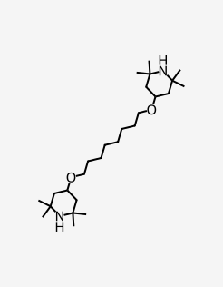 CC1(C)CC(OCCCCCCCCOC2CC(C)(C)NC(C)(C)C2)CC(C)(C)N1